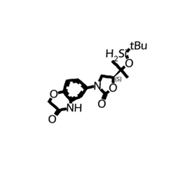 CC(C)(C)[SiH2]OC(C)(C)[C@@H]1CN(c2ccc3c(c2)NC(=O)CO3)C(=O)O1